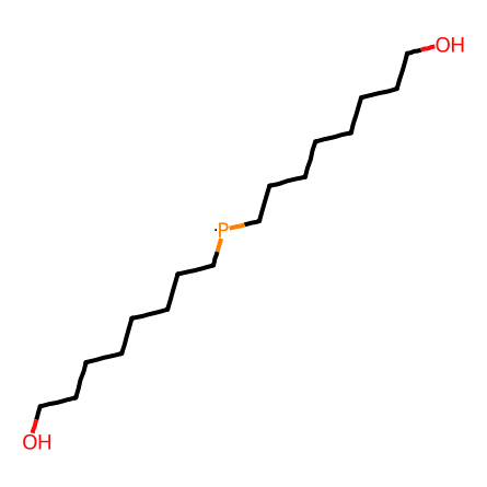 OCCCCCCCC[P]CCCCCCCCO